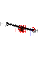 CCCCCCCCCCCCCCC(=O)O[C@H](COC(=O)CCCCCCCCNC(C)=O)COP(=O)(O)O